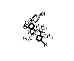 Cc1nc(N[C@H](C)c2cccc(C#N)c2C)c2cc(P3(=O)CCN(C#N)CC3)c3c(c2n1)OCO3